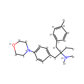 [CH2]CC([CH]c1ccc(N2CCOCC2)cc1)(Cc1ccc(C)cc1)N(C)C